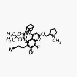 CN1CCCC1COc1cc(NC2C3CC2N(C(=O)OC(C)(C)C)C3)c2cc(CCC#N)c(Br)c(F)c2n1